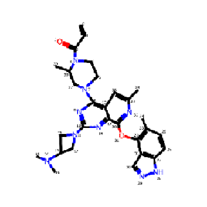 C=CC(=O)N1CCN(c2nc(N3CC(N(C)C)C3)nc3c(Oc4c(C)ccc5[nH]ncc45)nc(C)cc23)CC1C